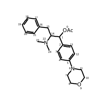 CC(=O)OC(c1ccc(N2CCOCC2)cc1)C(Cc1ccccc1)N(C)C